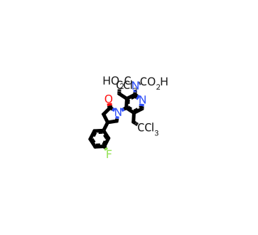 O=C1CC(c2cccc(F)c2)CN1c1c(CC(Cl)(Cl)Cl)cnc(N(C(=O)O)C(=O)O)c1CC(Cl)(Cl)Cl